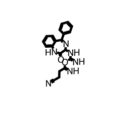 N#CCCC(=N)OC(=N)NC1N=C(c2ccccc2)c2ccccc2NC1=O